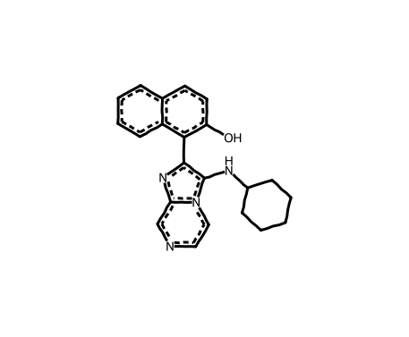 Oc1ccc2ccccc2c1-c1nc2cnccn2c1NC1CCCCC1